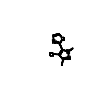 Cc1nn(C)c(-c2ncco2)c1Cl